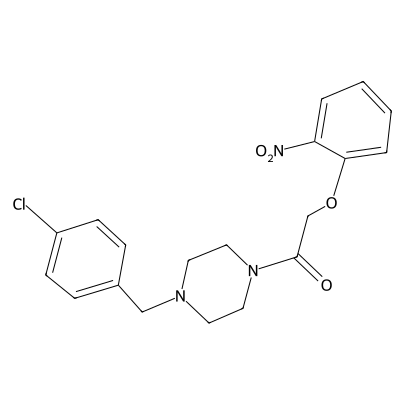 O=C(COc1ccccc1[N+](=O)[O-])N1CCN(Cc2ccc(Cl)cc2)CC1